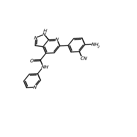 N#Cc1cc(-c2cc(C(=O)Nc3cccnc3)c3cn[nH]c3n2)ccc1N